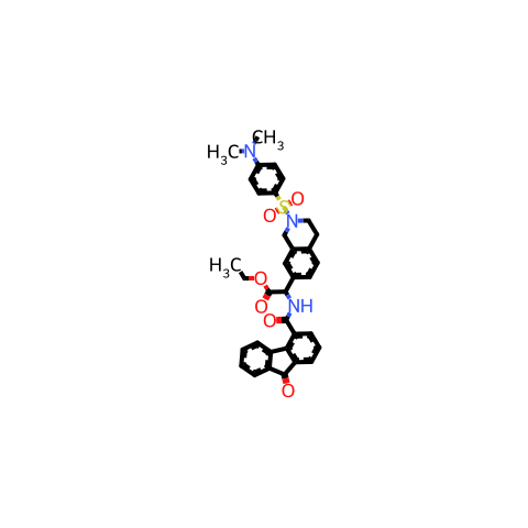 CCOC(=O)C(NC(=O)c1cccc2c1-c1ccccc1C2=O)c1ccc2c(c1)CN(S(=O)(=O)c1ccc(N(C)C)cc1)CC2